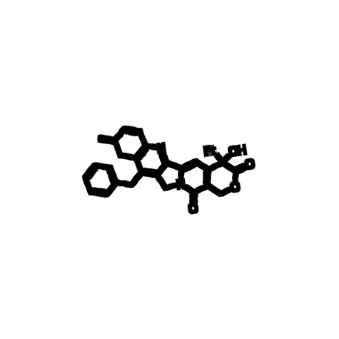 C=C1C=Cc2nc3c(c(Cc4ccccc4)c2C1)Cn1c-3cc2c(c1=O)COC(=O)C2(O)CC